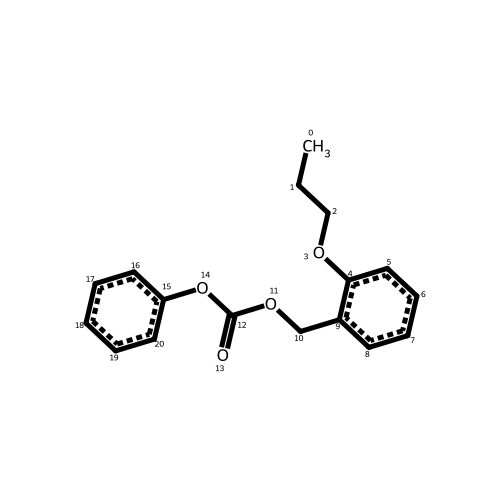 CCCOc1ccccc1COC(=O)Oc1ccccc1